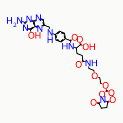 Nc1nc(O)c2nc(CNc3ccc(C(=O)NC(CCC(=O)NCCOCCOC(=O)ON4C(=O)CCC4=O)C(=O)O)cc3)cnc2n1